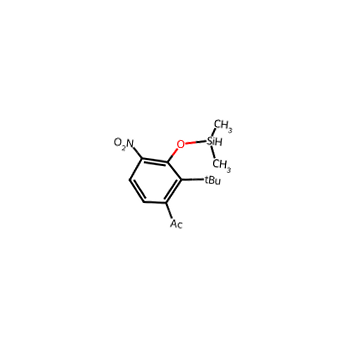 CC(=O)c1ccc([N+](=O)[O-])c(O[SiH](C)C)c1C(C)(C)C